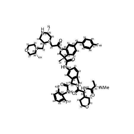 CN[C@@H](C)C(=O)N[C@H](C(=O)N1Cc2ccc(NC(=O)[C@]3(C)CN(C(=O)CN4C[C@@H](C)NC[C@@H]4CN4CCOC[C@H]4C)c4cc(Cc5ccc(F)cc5)ccc43)cc2[C@H]1C(=O)Nc1c(F)cccc1F)C1CCOCC1